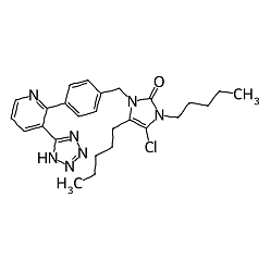 CCCCCc1c(Cl)n(CCCCC)c(=O)n1Cc1ccc(-c2ncccc2-c2nnn[nH]2)cc1